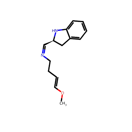 CO/C=C/CC/N=C\[C@@H]1Cc2ccccc2N1